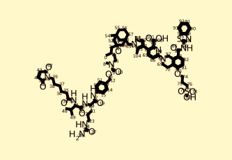 CCCC1(OCCN(C)C(=O)OCc2ccc(NC(=O)[C@H](CCCNC(N)=O)NC(=O)[C@@H](NC(=O)CCCCCN3C(=O)C=CC3=O)C(C)C)cc2)CC2(C)CCCC(Cn3ncc(-c4ccc(N5CCc6c(OCCCS(=O)(=O)O)ccc(C(=O)Nc7nc8ccccc8s7)c6C5)nc4C(=O)O)c3C)(C2)C1